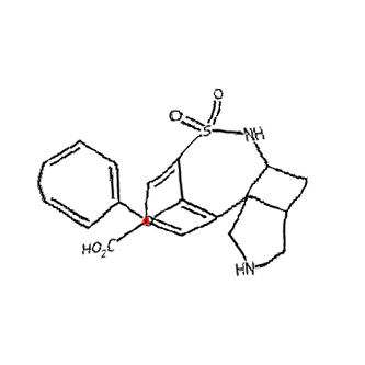 O=C(O)c1cc2c(Oc3ccccc3)c(c1)S(=O)(=O)NC1CC3CNCC231